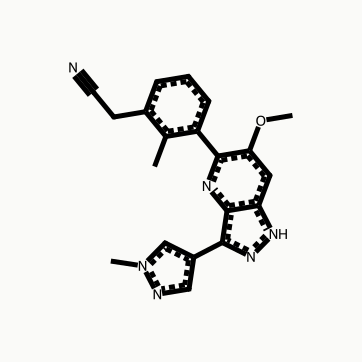 COc1cc2[nH]nc(-c3cnn(C)c3)c2nc1-c1cccc(CC#N)c1C